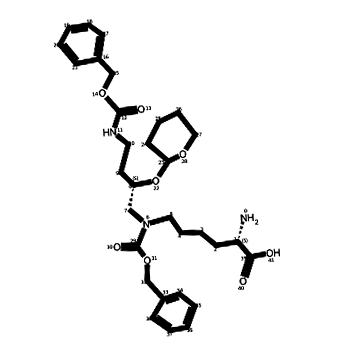 N[C@@H](CCCCN(C[C@H](CCNC(=O)OCc1ccccc1)OC1CCCCO1)C(=O)OCc1ccccc1)C(=O)O